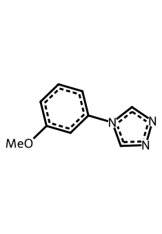 COc1cccc(-n2cnnc2)c1